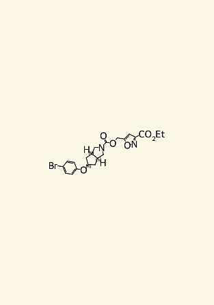 CCOC(=O)c1cc(COC(=O)N2C[C@H]3C[C@@H](Oc4ccc(Br)cc4)C[C@H]3C2)on1